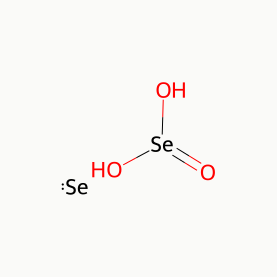 O=[Se](O)O.[Se]